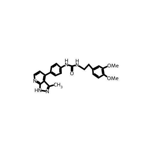 COc1ccc(CCNC(=O)Nc2ccc(-c3ccnc4[nH]nc(C)c34)cc2)cc1OC